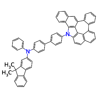 CC1(C)c2ccccc2-c2ccc(N(c3ccccc3)c3ccc(-c4ccc(-n5c6ccc7cccc8c7c6c6c(cc7ccccc7c65)-c5ccccc5-8)cc4)cc3)cc21